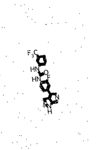 O=C(Nc1cccc(C(F)(F)F)c1)Nc1ccc(-c2cncc3[nH]ncc23)cc1F